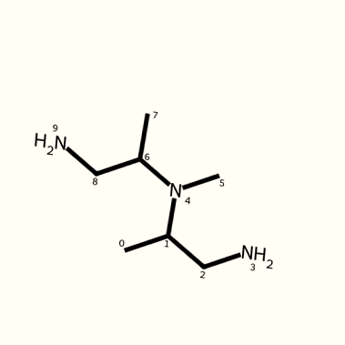 CC(CN)N(C)C(C)CN